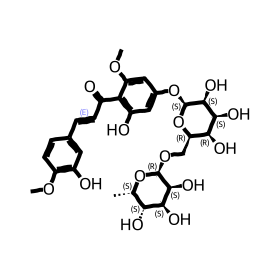 COc1ccc(/C=C/C(=O)c2c(O)cc(O[C@@H]3O[C@H](CO[C@@H]4O[C@@H](C)[C@@H](O)[C@H](O)[C@@H]4O)[C@H](O)[C@H](O)[C@@H]3O)cc2OC)cc1O